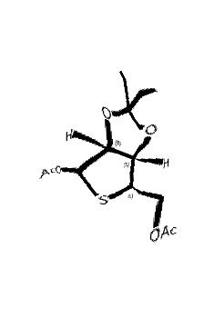 CC(=O)OC[C@H]1SC(OC(C)=O)[C@@H]2OC(C)(C)O[C@H]12